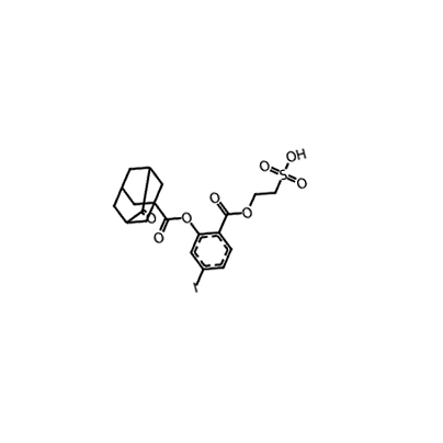 O=C(OCCS(=O)(=O)O)c1ccc(I)cc1OC(=O)C12CC3CC(C1)C(=O)C(C3)C2